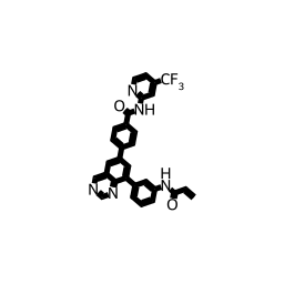 C=CC(=O)Nc1cccc(-c2cc(-c3ccc(C(=O)Nc4cc(C(F)(F)F)ccn4)cc3)cc3cncnc23)c1